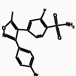 Cc1onc(-c2ccc(Br)cc2)c1-c1ccc(S(N)(=O)=O)c(F)c1